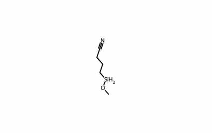 CO[SiH2]CCCC#N